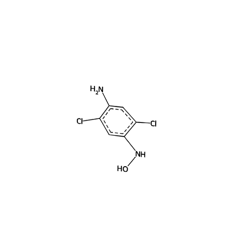 Nc1cc(Cl)c(NO)cc1Cl